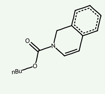 CCCCOC(=O)N1C=Cc2ccccc2C1